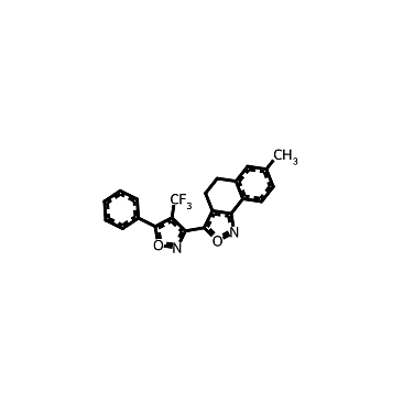 Cc1ccc2c(c1)CCc1c-2noc1-c1noc(-c2ccccc2)c1C(F)(F)F